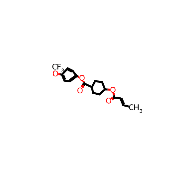 C/C=C/C(=O)OC1CCC(C(=O)Oc2ccc(OC(F)(F)F)cc2)CC1